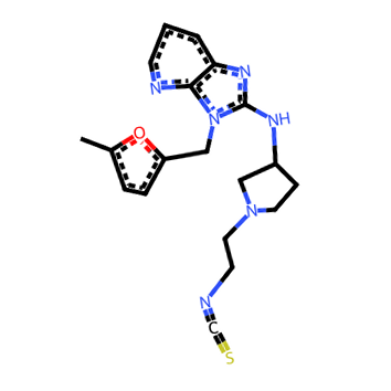 Cc1ccc(Cn2c(NC3CCN(CCN=C=S)C3)nc3cccnc32)o1